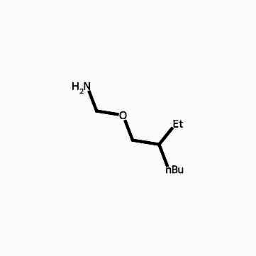 CCCCC(CC)COCN